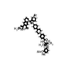 COc1cc(OC2C(C)(C)C(NC(=O)c3ccc(N4CCC(C5CCC(n6nc(N7CCCc8cc(-c9cnn(C)c9)c(C(F)F)cc87)c7c6CCN(C(C)=O)C7)CC5)CC4)cc3)C2(C)C)ccc1C#N